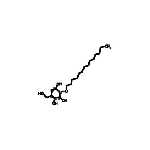 CCCCCCCCCCCCCCO[C@@H]1[C@@H](O)[C@H](O)[C@@H](CO)O[C@H]1O